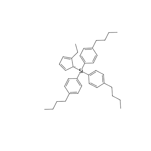 CCCCc1ccc([Si]([C]2C=CC=C2CC)(c2ccc(CCCC)cc2)c2ccc(CCCC)cc2)cc1